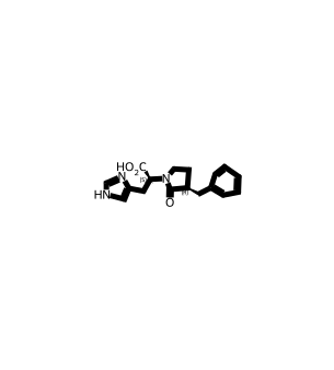 O=C(O)[C@H](Cc1c[nH]cn1)N1CC[C@@H](Cc2ccccc2)C1=O